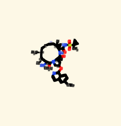 CC[C@@H]1C[C@H](C)CC/C=C\[C@@H]2CC2(C(=O)NS(=O)(=O)C2(C)CC2)NC(=O)[C@@H]2C[C@@H](Oc3nccc4cc(OC)ccc34)CN2C(=O)[C@H]1NC(=O)O